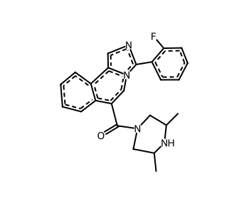 CC1CN(C(=O)c2cn3c(-c4ccccc4F)ncc3c3ccccc23)CC(C)N1